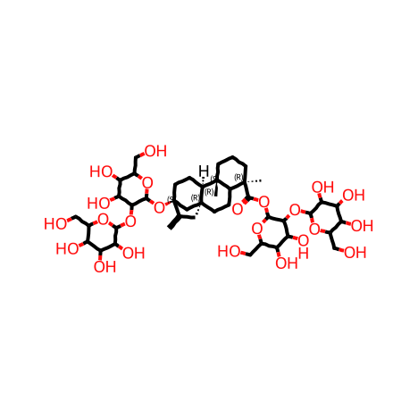 C=C1C[C@@]23CCC4[C@](C)(C(=O)OC5OC(CO)C(O)C(O)C5OC5OC(CO)C(O)C(O)C5O)CCC[C@@]4(C)[C@@H]2CC[C@]1(OC1OC(CO)C(O)C(O)C1OC1OC(CO)C(O)C(O)C1O)C3